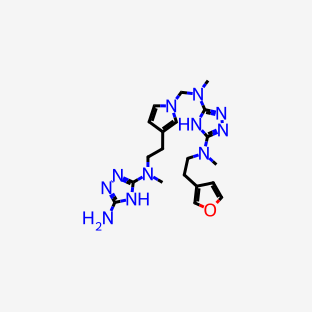 CN(CCc1ccn(CN(C)c2nnc(N(C)CCc3ccoc3)[nH]2)c1)c1nnc(N)[nH]1